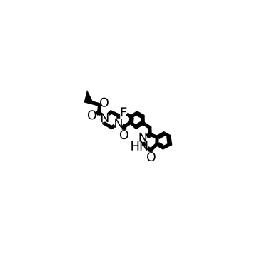 O=C(C(=O)N1CCN(C(=O)c2cc(Cc3n[nH]c(=O)c4ccccc34)ccc2F)CC1)C1CC1